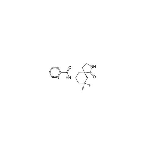 O=C(N[C@H]1CC(F)(F)C[C@]2(CCNC2=O)C1)c1ccccn1